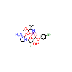 COC(=O)C(/N=[P+](\[O-])OC(Oc1ccc(Br)cc1)[C@@H]1O[C@@H](N2C=CCN(N)C2=O)[C@](C)(F)[C@@H]1O)C(C)C